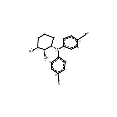 O[C@H]1[C@@H](O)CCC[C@@H]1N(c1ccc(F)cc1)c1ccc(F)cc1